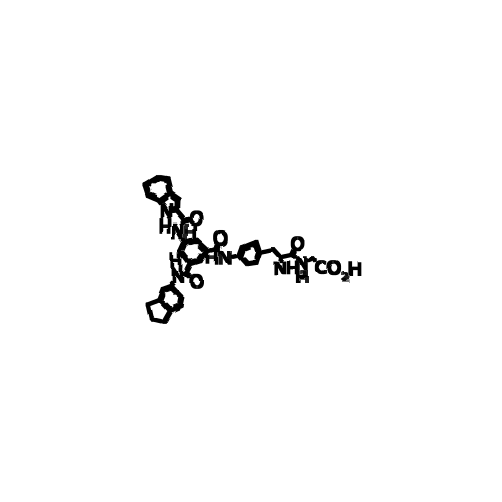 NC(Cc1ccc(NC(=O)c2cc(NC(=O)c3cc4ccccc4[nH]3)cc(C(=O)Nc3ccc4c(c3)CCC4)c2)cc1)C(=O)NCC(=O)O